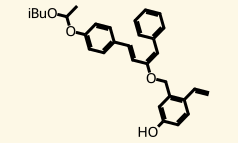 C=Cc1ccc(O)cc1COC(C=Cc1ccc(OC(C)OCC(C)C)cc1)=Cc1ccccc1